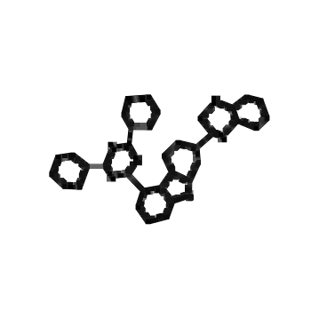 c1ccc(-c2nc(-c3ccccc3)nc(-c3cccc4sc5cc(-c6cnc7ccccc7n6)ccc5c34)n2)cc1